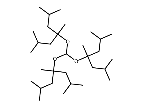 CC(C)CC(C)(CC(C)C)OC(OC(C)(CC(C)C)CC(C)C)OC(C)(CC(C)C)CC(C)C